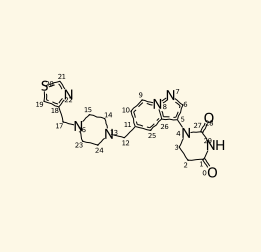 O=C1CCN(c2cnn3ccc(CN4CCN(Cc5cscn5)CC4)cc23)C(=O)N1